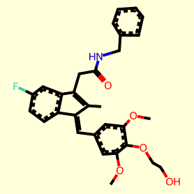 COc1cc(C=C2C(C)=C(CC(=O)NCc3ccccc3)c3cc(F)ccc32)cc(OC)c1OCCO